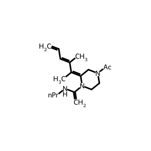 C=C/C=C(C)/C(C)=C1\CN(C(C)=O)CCN1C(=C)NCCC